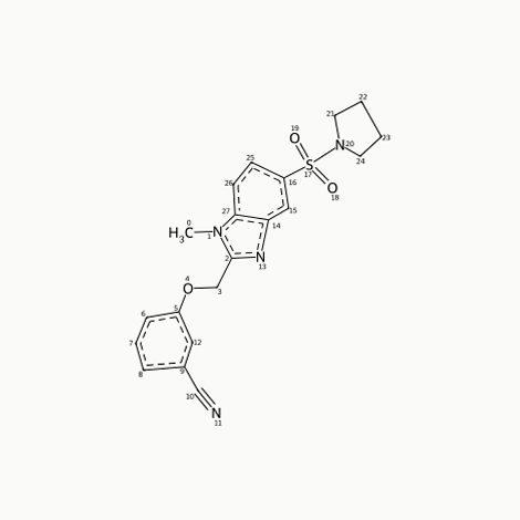 Cn1c(COc2cccc(C#N)c2)nc2cc(S(=O)(=O)N3CCCC3)ccc21